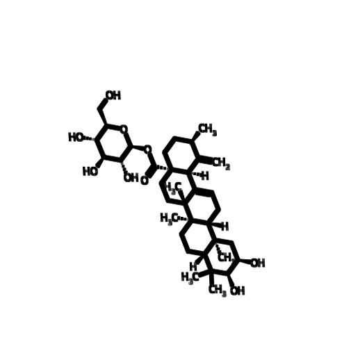 C=C1[C@H]2C3=CC[C@@H]4[C@@]5(C)C[C@@H](O)[C@@H](O)C(C)(C)[C@@H]5CC[C@@]4(C)[C@]3(C)CC[C@@]2(C(=O)O[C@@H]2O[C@H](CO)[C@@H](O)[C@H](O)[C@H]2O)CC[C@H]1C